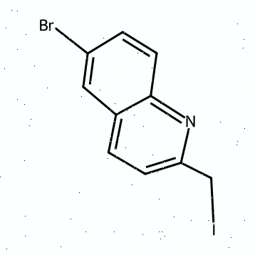 Brc1ccc2nc(CI)ccc2c1